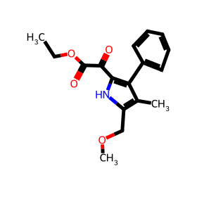 CCOC(=O)C(=O)c1[nH]c(COC)c(C)c1-c1ccccc1